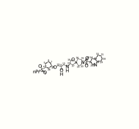 CCCS(=O)(=O)c1cccc(OCC(O)CN[C@H]2COC3(CCN(S(=O)(=O)c4cnc5ccccc5c4)CC3)C2)c1